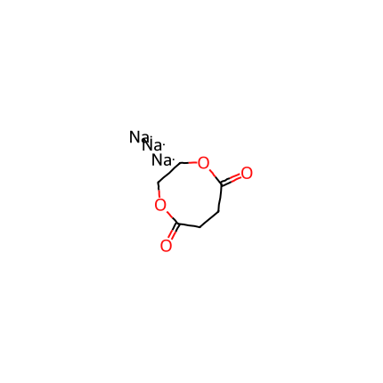 O=C1CCC(=O)OCCO1.[Na].[Na].[Na]